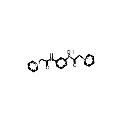 O=C(C[n+]1ccccc1)Nc1cccc(N(O)C(=O)C[n+]2ccccc2)c1